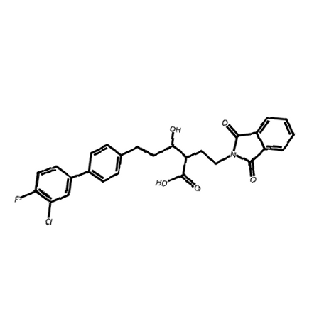 O=C(O)C(CCN1C(=O)c2ccccc2C1=O)C(O)CCc1ccc(-c2ccc(F)c(Cl)c2)cc1